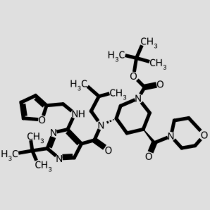 CC(C)CN(C(=O)c1cnc(C(C)(C)C)nc1NCc1ccco1)[C@H]1C[C@H](C(=O)N2CCOCC2)CN(C(=O)OC(C)(C)C)C1